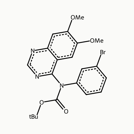 COc1cc2ncnc(N(C(=O)OC(C)(C)C)c3cccc(Br)c3)c2cc1OC